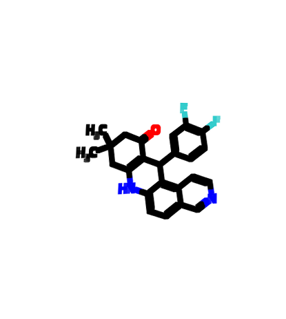 CC1(C)CC(=O)C2=C(C1)Nc1ccc3cnccc3c1C2c1ccc(F)c(F)c1